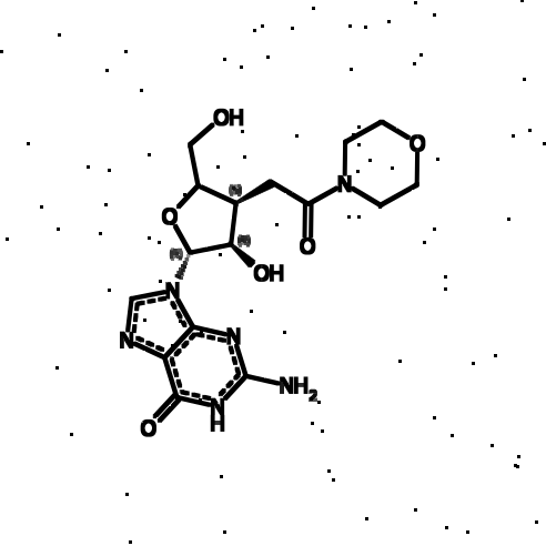 Nc1nc2c(ncn2[C@@H]2OC(CO)[C@@H](CC(=O)N3CCOCC3)[C@H]2O)c(=O)[nH]1